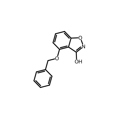 Oc1noc2cccc(OCc3ccccc3)c12